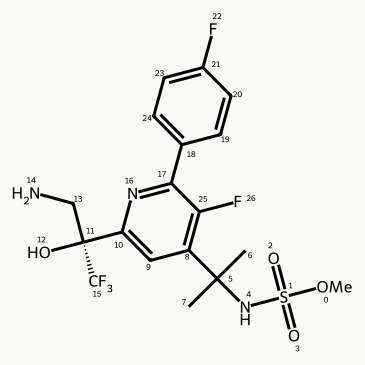 COS(=O)(=O)NC(C)(C)c1cc([C@@](O)(CN)C(F)(F)F)nc(-c2ccc(F)cc2)c1F